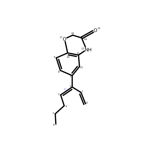 C=C/C(=C\CCC)c1ccc2c(c1)NC(=O)CO2